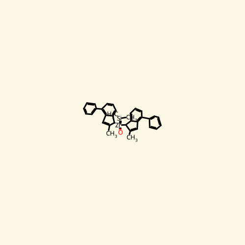 CC1=Cc2c(-c3ccccc3)cccc2[CH]1[Zr](=[O])([CH]1C(C)=Cc2c(-c3ccccc3)cccc21)=[Si](C)C